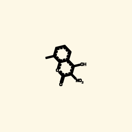 Cc1cccc2c(O)c([N+](=O)[O-])c(=O)oc12